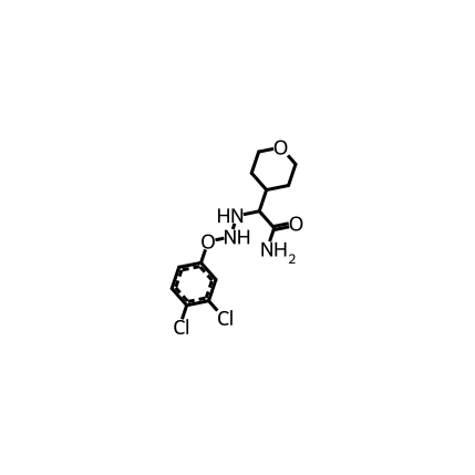 NC(=O)C(NNOc1ccc(Cl)c(Cl)c1)C1CCOCC1